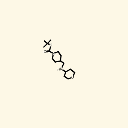 CC(C)(C)OC(=O)N1CCC(CNC2CCOCC2)CC1